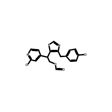 O=COCC(c1ccnc(Cl)c1)c1scnc1Cc1ccc(Cl)cc1